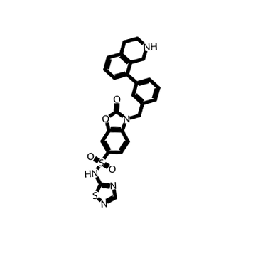 O=c1oc2cc(S(=O)(=O)Nc3ncns3)ccc2n1Cc1cccc(-c2cccc3c2CNCC3)c1